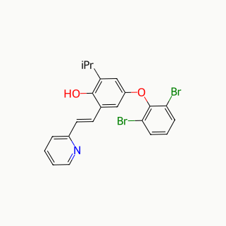 CC(C)c1cc(Oc2c(Br)cccc2Br)cc(C=Cc2ccccn2)c1O